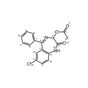 O=C(F)OC1N=C(c2ccccc2)c2cc(Cl)ccc2NC1=O